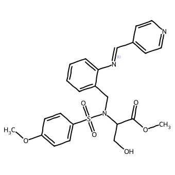 COC(=O)C(CO)N(Cc1ccccc1/N=C/c1ccncc1)S(=O)(=O)c1ccc(OC)cc1